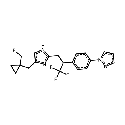 FCC1(Cc2c[nH]c(CC(c3ccc(-n4cccn4)cc3)C(F)(F)F)n2)CC1